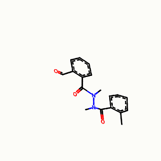 Cc1ccccc1C(=O)N(C)N(C)C(=O)c1ccccc1C=O